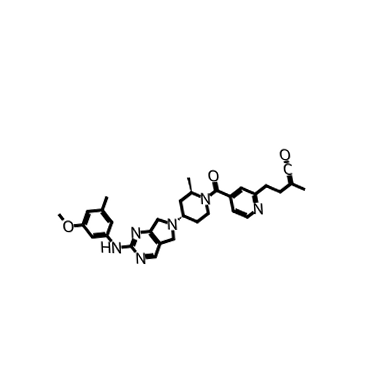 COc1cc(C)cc(Nc2ncc3c(n2)CN([C@H]2CCN(C(=O)c4ccnc(CCC(C)=C=O)c4)[C@H](C)C2)C3)c1